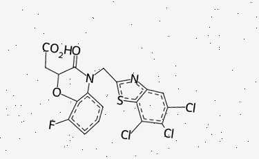 O=C(O)CC1Oc2c(F)cccc2N(Cc2nc3cc(Cl)c(Cl)c(Cl)c3s2)C1=O